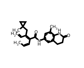 C=C/C(CC1(C)CC1)=C(\C=C/C)C(=O)Nc1cc(C)c2c(c1)CCC(=O)N2